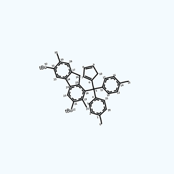 Cc1ccc(C(C2=CC=CC2)(c2ccc(C)cc2)c2c(C)c(C(C)(C)C)cc3c2Cc2cc(C)c(C(C)(C)C)cc2-3)cc1